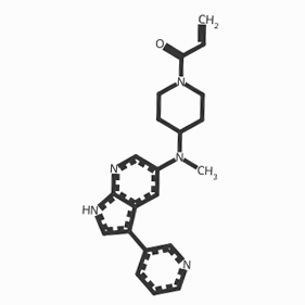 C=CC(=O)N1CCC(N(C)c2cnc3[nH]cc(-c4cccnc4)c3c2)CC1